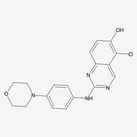 Oc1ccc2nc(Nc3ccc(N4CCOCC4)cc3)ncc2c1Cl